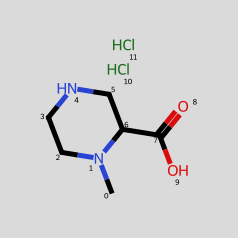 CN1CCNCC1C(=O)O.Cl.Cl